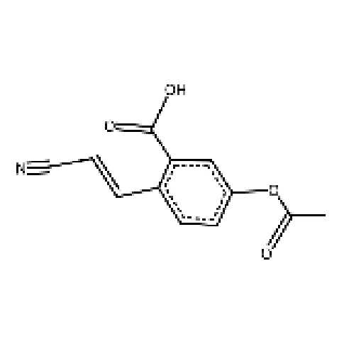 CC(=O)Oc1ccc(C=CC#N)c(C(=O)O)c1